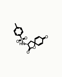 Cc1ccc(S(=O)(=O)N[C@H]2CC3(C=CC(=O)C=C3)OC2=O)cc1